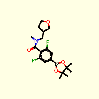 CN(CC1CCOC1)C(=O)c1c(F)cc(B2OC(C)(C)C(C)(C)O2)cc1F